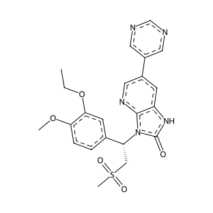 CCOc1cc([C@@H](CS(C)(=O)=O)n2c(=O)[nH]c3cc(-c4cncnc4)cnc32)ccc1OC